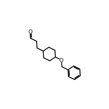 O=CCCC1CCC(OCc2ccccc2)CC1